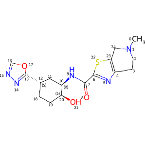 CN1CCc2nc(C(=O)N[C@@H]3C[C@@H](c4nnco4)CC[C@@H]3O)sc2C1